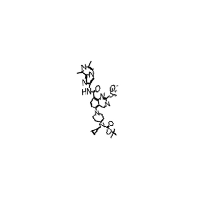 Cc1cn2cc(NC(=O)c3ccc(N4CCC(N(C(=O)OC(C)(C)C)C5CC5)CC4)c4cnc([S+](C)[O-])nc34)nc2c(C)n1